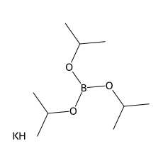 CC(C)OB(OC(C)C)OC(C)C.[KH]